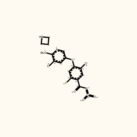 C1CNC1.CC(C)COc1ncc(Oc2cc(F)c(C(=O)N=S(=O)=O)cc2Cl)cc1Cl